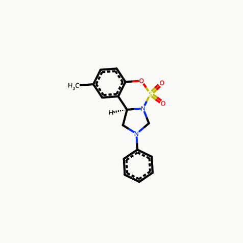 Cc1ccc2c(c1)[C@@H]1CN(c3ccccc3)CN1S(=O)(=O)O2